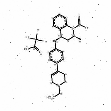 CCC(=O)N1c2ccccc2[C@H](Nc2ccc(C3=CCN(CC(=O)O)CC3)cc2)C[C@@H]1C.O=C(O)C(F)(F)F